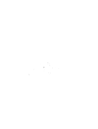 CSc1nc2ccc(F)cc2o1